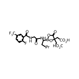 CC(C)CC(NC(=O)CNC(=O)c1cc(C(F)(F)F)ccc1F)B1OC(=O)C(CC(=O)O)(CC(=O)O)O1